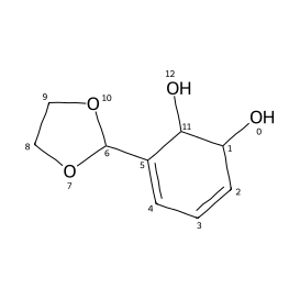 OC1C=CC=C(C2OCCO2)C1O